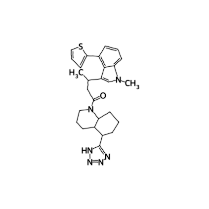 CC(CC(=O)N1CCCC2C(c3nnn[nH]3)CCCC21)c1cn(C)c2cccc(-c3cccs3)c12